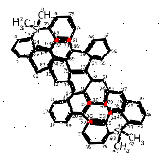 C[Si]1(C)c2ccccc2N(c2ccc3c(-c4ccccc4-c4ccc5ccccc5c4)c4cc(N5c6ccccc6[Si](C)(C)c6ccccc65)ccc4c(-c4ccccc4-c4ccc5ccccc5c4)c3c2)c2ccccc21